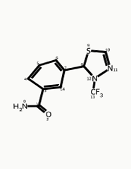 NC(=O)c1cccc(C2SC=NN2C(F)(F)F)c1